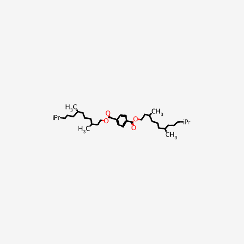 CC(C)CCCC(C)CCCC(C)CCOC(=O)c1ccc(C(=O)OCCC(C)CCCC(C)CCCC(C)C)cc1